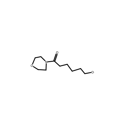 [O]CCCCCC(=O)N1CCOCC1